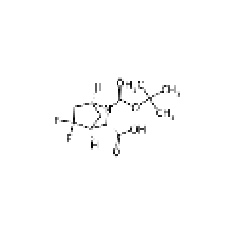 CC(C)(C)OC(=O)N1[C@H]2C[C@@H]([C@H]1C(=O)O)C(F)(F)C2